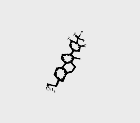 CCCc1ccc2c(c1)CCc1c-2ccc(-c2cc(F)c(C(F)(F)F)c(F)c2)c1F